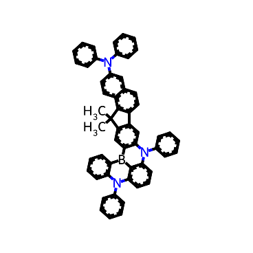 CC1(C)c2cc3c(cc2-c2ccc4cc(N(c5ccccc5)c5ccccc5)ccc4c21)N(c1ccccc1)c1cccc2c1B3c1ccccc1N2c1ccccc1